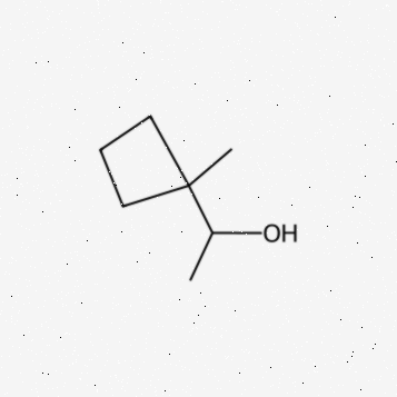 CC(O)C1(C)CCC1